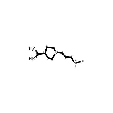 CC(C)C1CCN(CCCNI)CC1